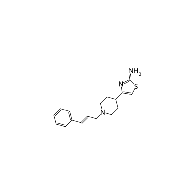 Nc1nc(C2CCN(CC=Cc3ccccc3)CC2)cs1